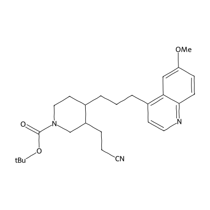 COc1ccc2nccc(CCCC3CCN(C(=O)OC(C)(C)C)CC3CCC#N)c2c1